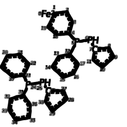 [Fe+2].c1ccc(P(P[c-]2cccc2)c2ccccc2)cc1.c1ccc(P(P[c-]2cccc2)c2ccccc2)cc1